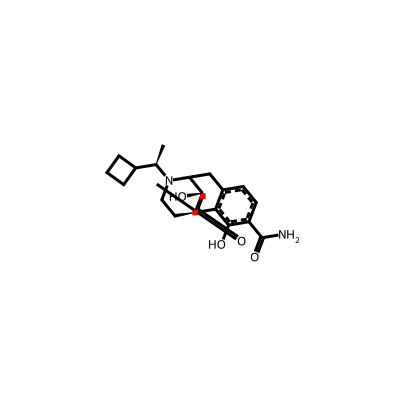 C[C@H](C1CCC1)N1CC[C@]23CC(=O)CC[C@@]2(O)C1Cc1ccc(C(N)=O)c(O)c13